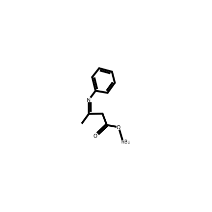 CCCCOC(=O)C/C(C)=N\c1ccccc1